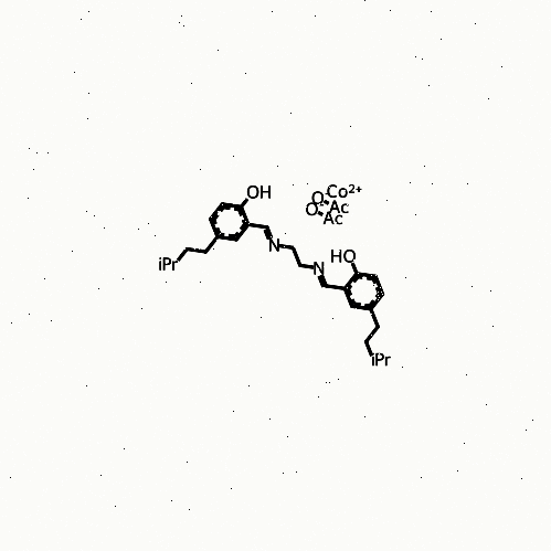 CC(=O)[O-].CC(=O)[O-].CC(C)CCc1ccc(O)c(C=NCCN=Cc2cc(CCC(C)C)ccc2O)c1.[Co+2]